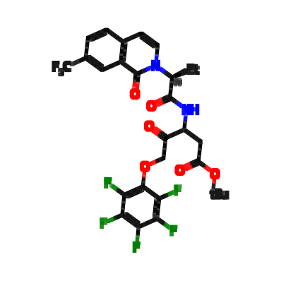 CC[C@@H](C(=O)NC(CC(=O)OC(C)(C)C)C(=O)COc1c(F)c(F)c(F)c(F)c1F)n1ccc2ccc(C(F)(F)F)cc2c1=O